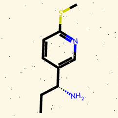 CC[C@@H](N)c1ccc(SC)nc1